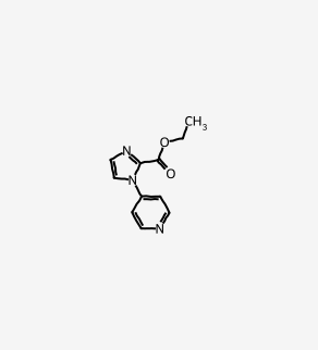 CCOC(=O)c1nccn1-c1ccncc1